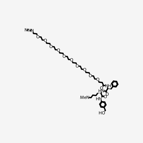 CNCCCC[C@H](NC(=O)[C@H](Cc1ccccc1)NC(=O)CCOCCOCCOCCOCCOCCOCCOCCOCCOCCOCCN=[N+]=[N-])C(=O)Nc1ccc(CO)cc1